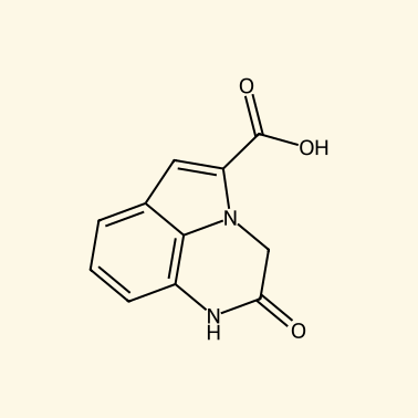 O=C1Cn2c(C(=O)O)cc3cccc(c32)N1